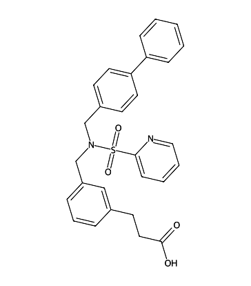 O=C(O)CCc1cccc(CN(Cc2ccc(-c3ccccc3)cc2)S(=O)(=O)c2ccccn2)c1